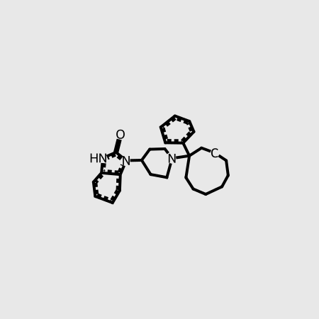 O=c1[nH]c2ccccc2n1C1CCN(C2(c3ccccc3)CCCCCCCC2)CC1